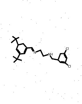 CC(C)(C)C1=CC(C(C)(C)C)CC(/C=N/CCNCC2C=C(Cl)C=C(Cl)C2)=C1